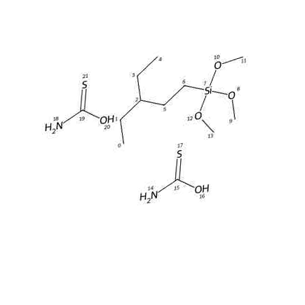 CCC(CC)CC[Si](OC)(OC)OC.NC(O)=S.NC(O)=S